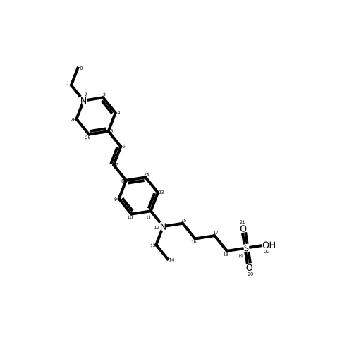 CCN1C=CC(C=Cc2ccc(N(CC)CCCCS(=O)(=O)O)cc2)=CC1